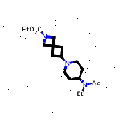 CCOC(=O)N1CC2(CC(N3CCC(N(CC)C(C)=O)CC3)C2)C1